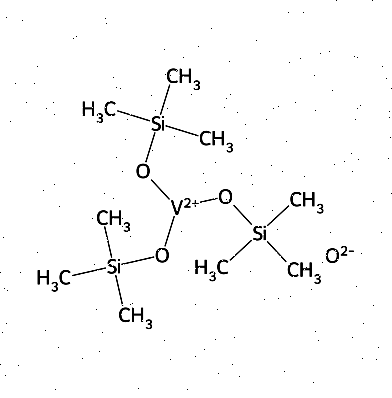 C[Si](C)(C)[O][V+2]([O][Si](C)(C)C)[O][Si](C)(C)C.[O-2]